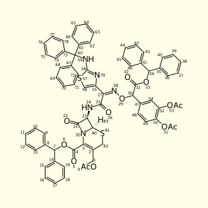 CC(=O)OCC1=C(C(=O)OC(c2ccccc2)c2ccccc2)N2C(=O)[C@@H](NC(=O)/C(=N\OC(C(=O)OC(c3ccccc3)c3ccccc3)c3ccc(OC(C)=O)c(OC(C)=O)c3)c3csc(NC(c4ccccc4)(c4ccccc4)c4ccccc4)n3)[C@H]2SC1